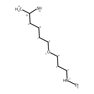 CCNCCCOCCCCC(C)S